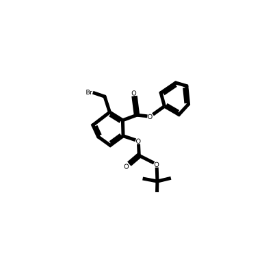 CC(C)(C)OC(=O)Oc1cccc(CBr)c1C(=O)Oc1ccccc1